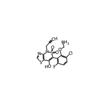 BCOc1c(Cl)ccc(F)c1C1=C(O)c2scnc2N(CC#C)S1(=O)=O